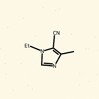 CCn1cnc(C)c1C#N